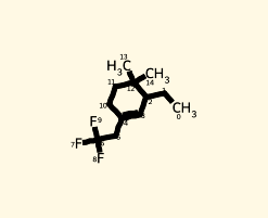 CCC1C=C(CC(F)(F)F)CCC1(C)C